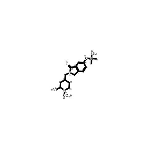 CC(C)(C)C1CC(CN2Cc3ccc(O[Si](C)(C)C(C)(C)C)cc3C2=O)CCN1C(=O)O